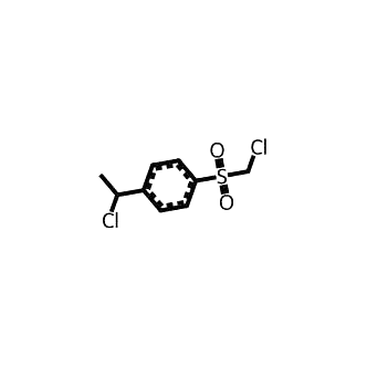 CC(Cl)c1ccc(S(=O)(=O)CCl)cc1